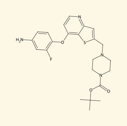 CC(C)(C)OC(=O)N1CCN(Cc2cc3nccc(Oc4ccc(N)cc4F)c3s2)CC1